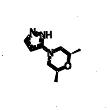 C[C@H]1CN(c2ccn[nH]2)C[C@H](C)O1